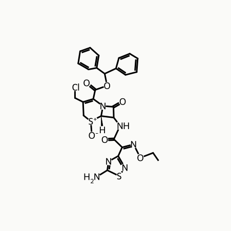 CCON=C(C(=O)NC1C(=O)N2C(C(=O)OC(c3ccccc3)c3ccccc3)=C(CCl)C[S+]([O-])[C@@H]12)c1nsc(N)n1